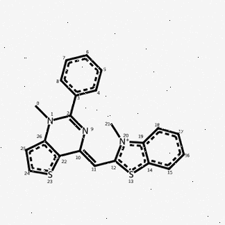 CN1C(c2ccccc2)=N/C(=C\c2sc3ccccc3[n+]2C)c2sccc21